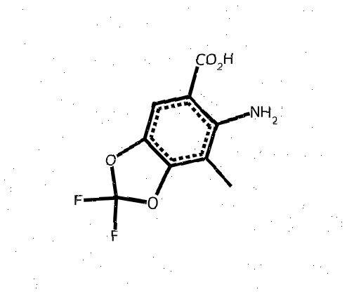 Cc1c(N)c(C(=O)O)cc2c1OC(F)(F)O2